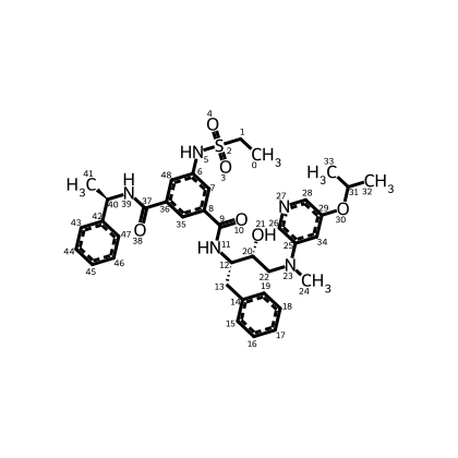 CCS(=O)(=O)Nc1cc(C(=O)N[C@@H](Cc2ccccc2)[C@H](O)CN(C)c2cncc(OC(C)C)c2)cc(C(=O)N[C@H](C)c2ccccc2)c1